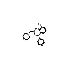 CC(CN1CCOCC1)CN(c1ccncc1)c1cccc(Cl)c1